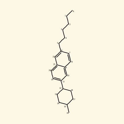 CCCCCCc1ccc2cc(C3CCC(C)CC3)ccc2c1